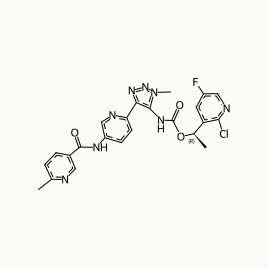 Cc1ccc(C(=O)Nc2ccc(-c3nnn(C)c3NC(=O)O[C@H](C)c3cc(F)cnc3Cl)nc2)cn1